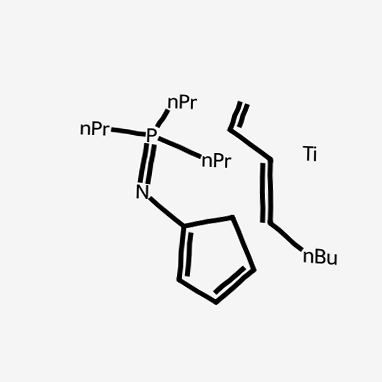 C=CC=CCCCC.CCCP(CCC)(CCC)=NC1=CC=CC1.[Ti]